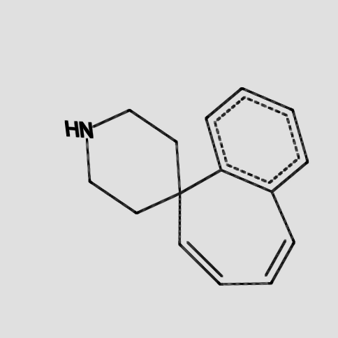 C1=Cc2ccccc2C2(C=C1)CCNCC2